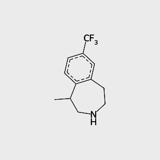 CC1CNCCc2cc(C(F)(F)F)ccc21